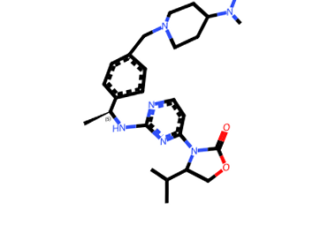 CC(C)C1COC(=O)N1c1ccnc(N[C@@H](C)c2ccc(CN3CCC(N(C)C)CC3)cc2)n1